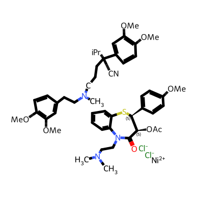 COc1ccc(CCN(C)CCCC(C#N)(c2ccc(OC)c(OC)c2)C(C)C)cc1OC.COc1ccc([C@@H]2Sc3ccccc3N(CCN(C)C)C(=O)[C@@H]2OC(C)=O)cc1.[Cl-].[Cl-].[Ni+2]